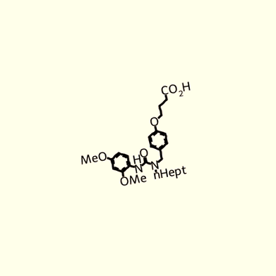 CCCCCCCN(Cc1ccc(OCCCC(=O)O)cc1)C(=O)Nc1ccc(OC)cc1OC